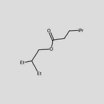 CCC(CC)COC(=O)CCC(C)C